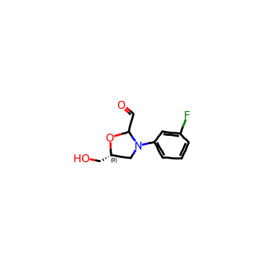 O=CC1O[C@@H](CO)CN1c1cccc(F)c1